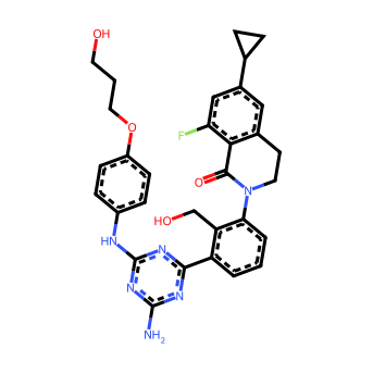 Nc1nc(Nc2ccc(OCCCO)cc2)nc(-c2cccc(N3CCc4cc(C5CC5)cc(F)c4C3=O)c2CO)n1